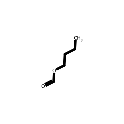 CCC[CH]OC=O